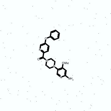 COc1cc(N)ncc1N1CCN(C(=O)c2ccc(Oc3ccccc3)cn2)CC1